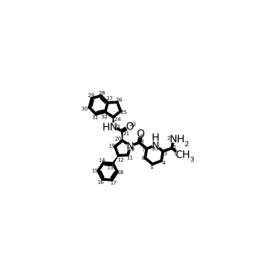 CC(N)C1CCCC(C(=O)N2C[C@@H](c3ccccc3)C[C@H]2C(=O)N[C@@H]2CCc3ccccc32)N1